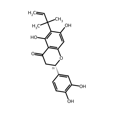 C=CC(C)(C)c1c(O)cc2c(c1O)C(=O)C[C@@H](c1ccc(O)c(O)c1)O2